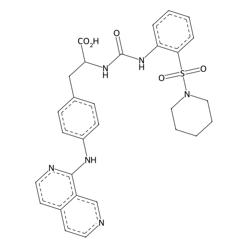 O=C(Nc1ccccc1S(=O)(=O)N1CCCCC1)NC(Cc1ccc(Nc2nccc3ccncc23)cc1)C(=O)O